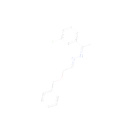 CC(=NN=CCOCc1ccccc1)c1cccc(F)c1